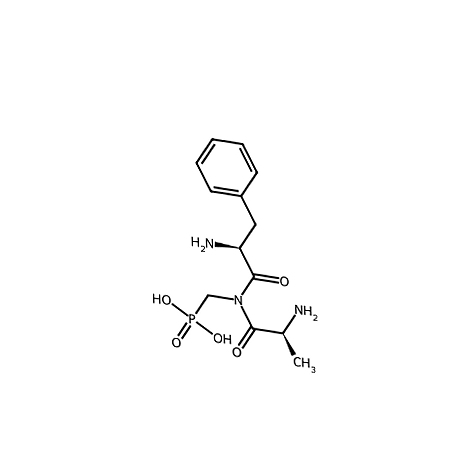 C[C@H](N)C(=O)N(CP(=O)(O)O)C(=O)[C@@H](N)Cc1ccccc1